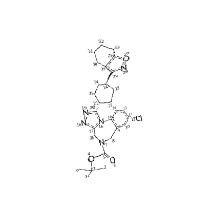 CC(C)(C)OC(=O)N1Cc2cc(Cl)ccc2-n2c(nnc2[C@H]2CC[C@H](c3noc4c3CCCC4)CC2)C1